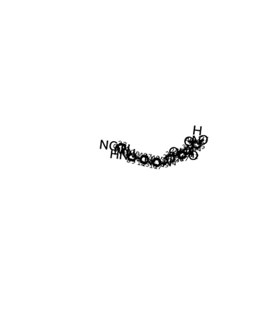 N#Cc1ccnc(Nc2ccc(C3CCN(c4ccc(CN5CCC(O)(c6ccc7c(c6)CN(C6CCC(=O)NC6=O)C7=O)CC5)cc4)CC3)cn2)n1